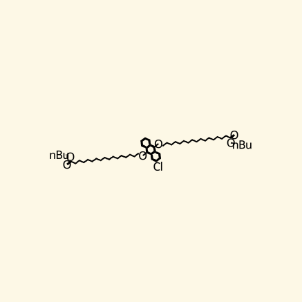 CCCCOC(=O)CCCCCCCCCCCCCCCCOc1c2ccccc2c(OCCCCCCCCCCCCCCCCC(=O)OCCCC)c2cc(Cl)ccc12